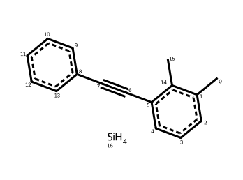 Cc1cccc(C#Cc2ccccc2)c1C.[SiH4]